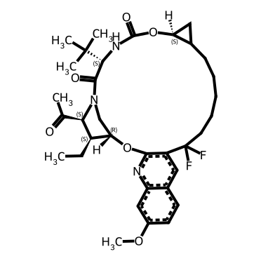 CC[C@@H]1[C@@H]2CN(C(=O)[C@H](C(C)(C)C)NC(=O)O[C@H]3CC3CCCCCC(F)(F)c3cc4ccc(OC)cc4nc3O2)[C@@H]1C(C)=O